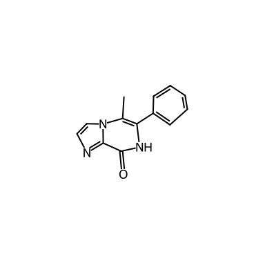 Cc1c(-c2ccccc2)[nH]c(=O)c2nccn12